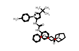 Cc1ccc(-n2nc(C(C)(C)C)cc2NC(=O)Nc2ccc(CC3CC4CCC(C3)N4C(=O)CCOc3ccccc3)cc2)cc1